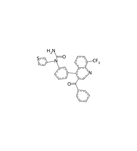 NC(=O)N(c1ccsc1)c1cccc(-c2c(C(=O)c3ccccc3)cnc3c(C(F)(F)F)cccc23)c1